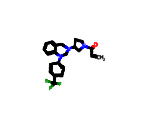 C=CC(=O)N1CCC(N2Cc3ccccc3N(c3ccc(C(F)(F)F)cc3)C2)C1